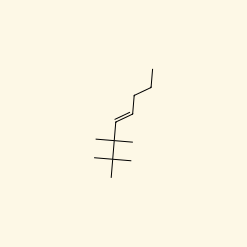 CCCC=CC(C)(C)C(C)(C)C